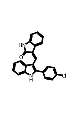 O=C1Nc2ccccc2/C1=C/c1c(-c2ccc(Cl)cc2)[nH]c2ccccc12